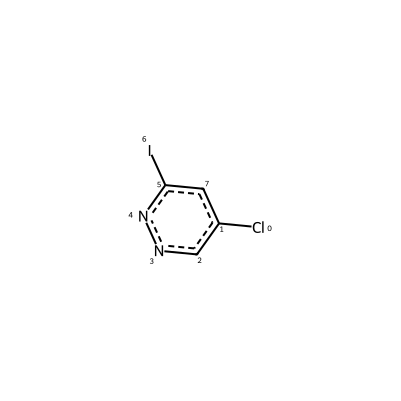 Clc1cnnc(I)c1